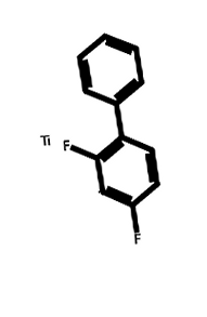 Fc1[c]c(F)c(-c2ccccc2)cc1.[Ti]